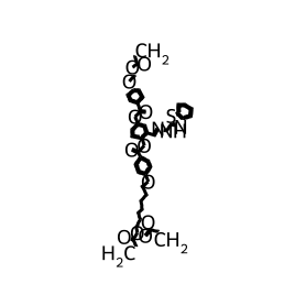 C=CC(=O)OCOc1ccc(C(=O)Oc2ccc(OC(=O)c3ccc(OCCCCCC(COC(=O)C=C)OC(=O)C=C)cc3)c(/C=N/Nc3nc4ccccc4s3)c2)cc1